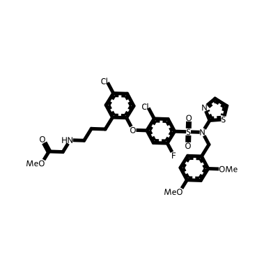 COC(=O)CNCCCc1cc(Cl)ccc1Oc1cc(F)c(S(=O)(=O)N(Cc2ccc(OC)cc2OC)c2nccs2)cc1Cl